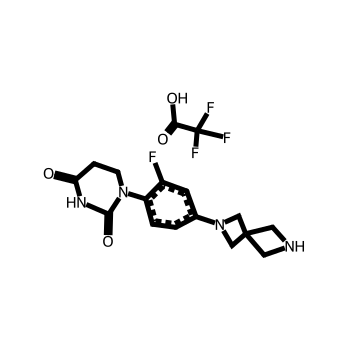 O=C(O)C(F)(F)F.O=C1CCN(c2ccc(N3CC4(CNC4)C3)cc2F)C(=O)N1